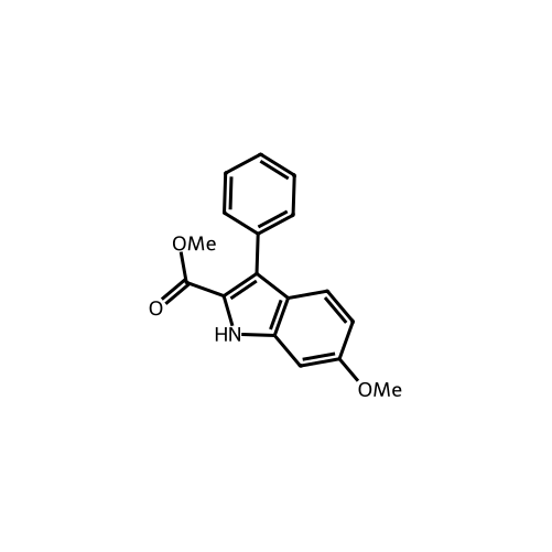 COC(=O)c1[nH]c2cc(OC)ccc2c1-c1ccccc1